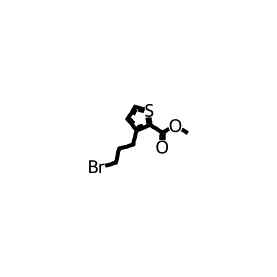 COC(=O)c1sccc1CCCBr